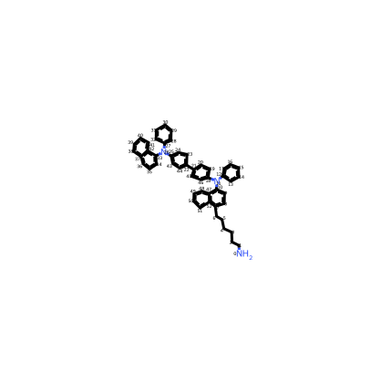 NCCCCCCc1ccc(N(c2ccccc2)c2ccc(-c3ccc(N(c4ccccc4)c4cccc5ccccc45)cc3)cc2)c2ccccc12